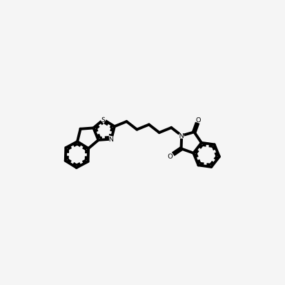 O=C1c2ccccc2C(=O)N1CCCCCc1nc2c(s1)Cc1ccccc1-2